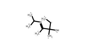 CCC(C)(O)C(C)=NC(C)C